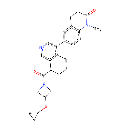 CN1C(=O)CCc2cc(-c3cncc4c3CCCC4C(=O)N3CC(OC4CC4)C3)ccc21